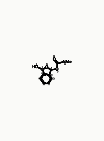 CNC(=O)OC1OB(O)c2ccccc21